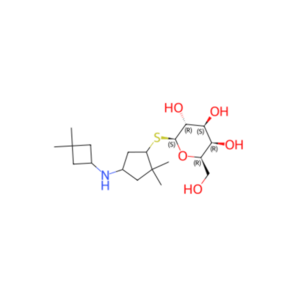 CC1(C)CC(NC2CC(S[C@@H]3O[C@H](CO)[C@H](O)[C@H](O)[C@H]3O)C(C)(C)C2)C1